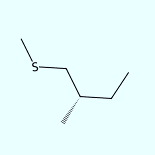 CC[C@H](C)CSC